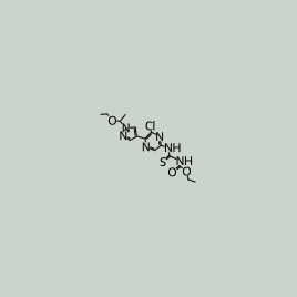 CCOC(=O)NC(=S)Nc1cnc(-c2cnn(C(C)OCC)c2)c(Cl)n1